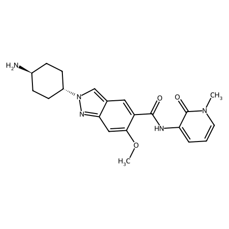 COc1cc2nn([C@H]3CC[C@H](N)CC3)cc2cc1C(=O)Nc1cccn(C)c1=O